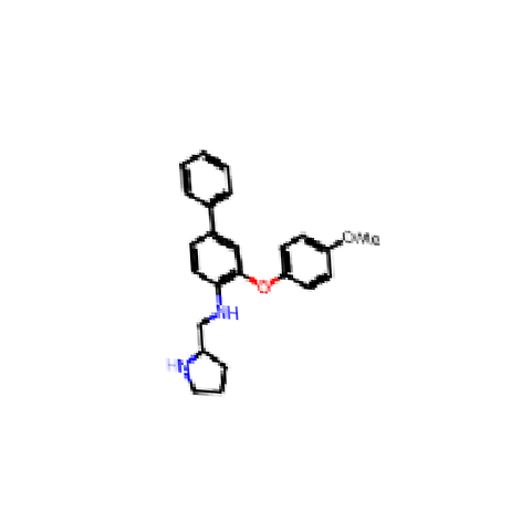 COc1ccc(Oc2cc(-c3ccccc3)ccc2NCC2CCCN2)cc1